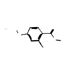 CCCCCOc1ccc(C(=O)NN)c(C)c1